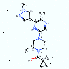 C[C@@H]1CN(c2cnc(C#N)c(-c3cnn(C)c3)n2)CCN1C(=O)C1(C)CC1